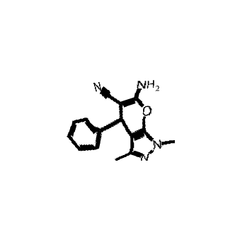 Cc1nn(C)c2c1C(c1ccccc1)C(C#N)=C(N)O2